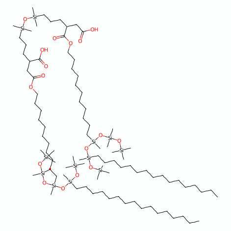 CCCCCCCCCCCCCCCC[Si](C)(O[Si](C)(C)C)O[Si](C)(CCCCCCCCCCCOC(=O)CC(CCC[Si](C)(C)O[Si](C)(C)CCCC(CC(=O)O)C(=O)OCCCCCCCCCCC[Si](C)(O[Si](C)(C)O[Si](C)(C)C)O[Si](C)(CCCCCCCCCCCCCCCC)O[Si](C)(C)C)C(=O)O)O[Si](C)(C)O[Si](C)(C)C